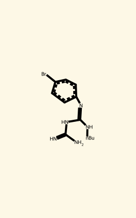 CCCCNC(=Nc1ccc(Br)cc1)NC(=N)N